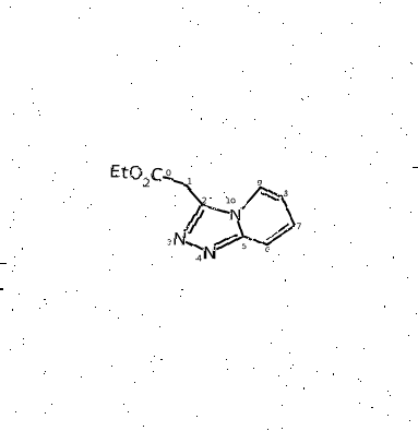 CCOC(=O)Cc1nnc2ccccn12